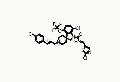 O=C(NCc1cnc(Cl)s1)N1CC2(CCN(C/C=C/c3ccc(Cl)cc3)CC2)c2c(OC(F)(F)F)ccc(Cl)c21